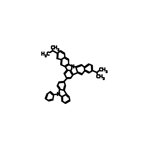 CC(C)c1ccc2cc3c(cc2c1)c1cc(-c2ccc4c(c2)c2ccccc2n4-c2ccccc2)cc2c4cc5cc(C(C)C)ccc5cc4n3c12